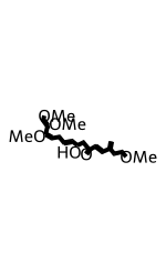 C=C(/C=C/C(=O)CC(O)/C=C/C/C=C(OC)\C(=C\OC)OC)CCOC